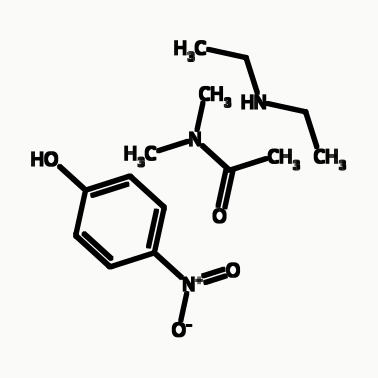 CC(=O)N(C)C.CCNCC.O=[N+]([O-])c1ccc(O)cc1